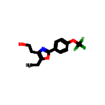 CCc1oc(-c2ccc(OC(F)(F)F)cc2)nc1CCO